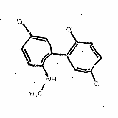 CNc1c[c]c(Cl)cc1-c1cc(Cl)ccc1Cl